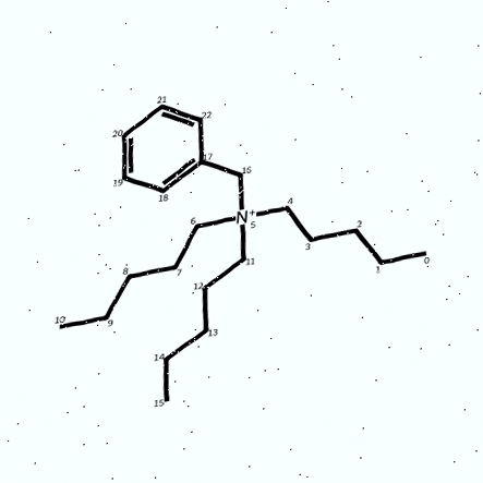 CCCCC[N+](CCCCC)(CCCCC)Cc1ccccc1